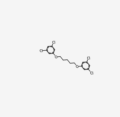 Clc1cc(Cl)cc(OCCCCCOc2cc(Cl)cc(Cl)c2)c1